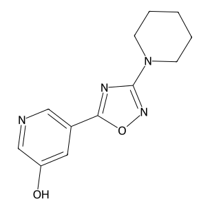 Oc1cncc(-c2nc(N3CCCCC3)no2)c1